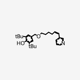 CC(C)(C)c1cc(COCCCC/C=C\c2cccnc2)cc(C(C)(C)C)c1O